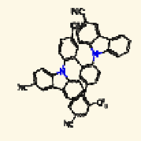 N#Cc1ccc(-n2c3ccccc3c3cc(C#N)ccc32)c(-c2cc(-c3ccc(C#N)cc3C(F)(F)F)ccc2-n2c3ccccc3c3cc(C#N)ccc32)c1